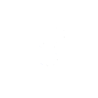 CN1CCCNCCC(Oc2ccccc2)[N]([Ti+2])CCC1.[Cl-].[Cl-]